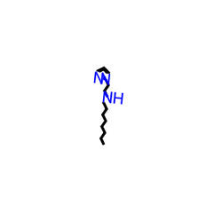 CCCCCCCCNCCn1cccn1